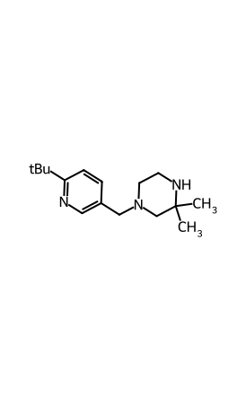 CC1(C)CN(Cc2ccc(C(C)(C)C)nc2)CCN1